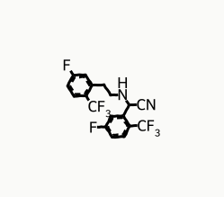 N#CC(NCCc1cc(F)ccc1C(F)(F)F)c1cc(F)ccc1C(F)(F)F